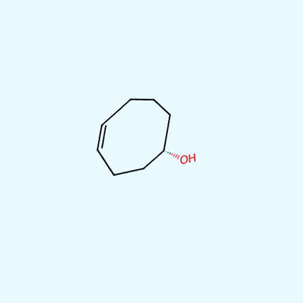 O[C@@H]1CC/C=C\CCC1